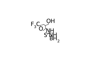 BNC(=S)NC1COC(C(F)(F)F)CC1CO